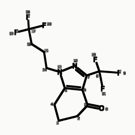 O=C1CCCc2c1c(C(F)(F)F)nn2CCCC(F)(F)F